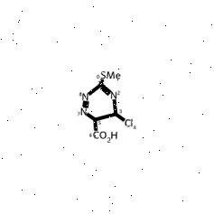 CSC1=NC(Cl)C(C(=O)O)N=N1